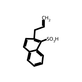 C=CCc1ccc2ccccc2c1S(=O)(=O)O